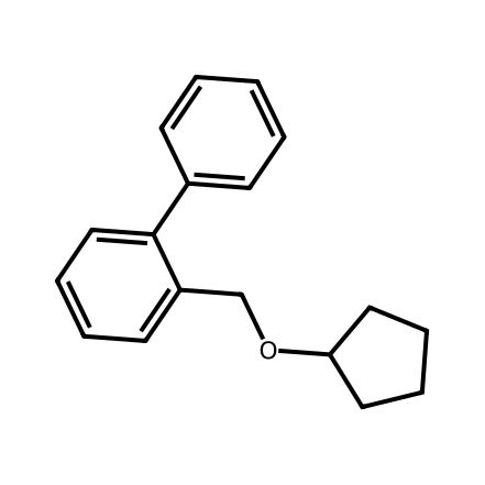 c1ccc(-c2ccccc2COC2CCCC2)cc1